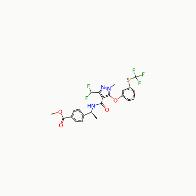 COC(=O)c1ccc([C@H](C)NC(=O)c2c(C(F)F)nn(C)c2Oc2cccc(SC(F)(F)F)c2)cc1